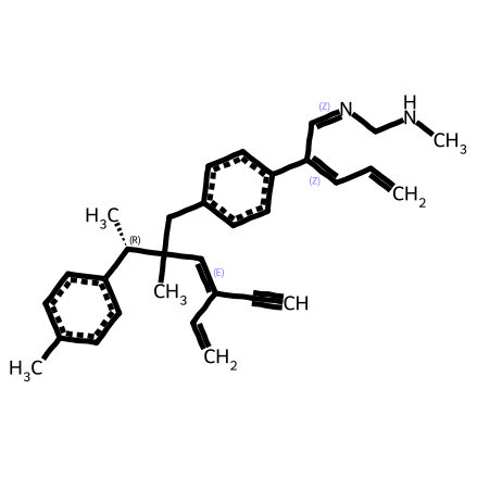 C#C/C(C=C)=C/C(C)(Cc1ccc(C(/C=N\CNC)=C/C=C)cc1)[C@@H](C)c1ccc(C)cc1